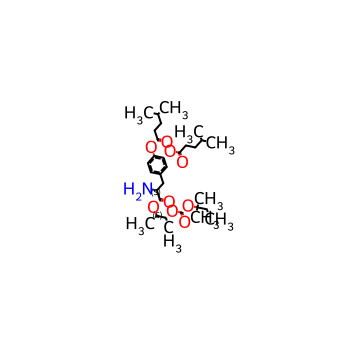 CCC(C)(C)OC(=O)OC(C)[C@H](C)OC(=O)[C@@H](N)Cc1ccc(OC(=O)CCC(C)C)c(OC(=O)CCC(C)C)c1